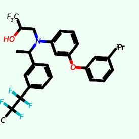 CC(C)c1cccc(Oc2cccc(N(CC(O)C(F)(F)F)C(C)c3cccc(C(F)(F)C(F)(F)C(F)(F)F)c3)c2)c1